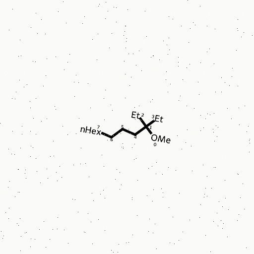 [CH2]OC(CC)(CC)CCCCCCCCC